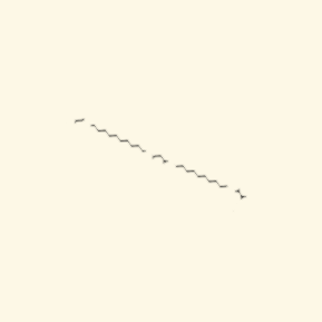 C=C(C)C(=O)OCCCCCCCCCCOC(=O)CC(=O)OCCCCCCCCCCOC(=O)C(=C)C